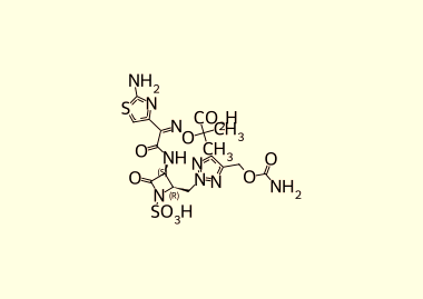 CC(C)(ON=C(C(=O)N[C@@H]1C(=O)N(S(=O)(=O)O)[C@@H]1Cn1ncc(COC(N)=O)n1)c1csc(N)n1)C(=O)O